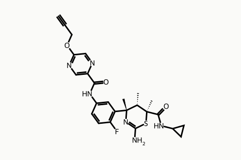 C#CCOc1cnc(C(=O)Nc2ccc(F)c([C@@]3(C)N=C(N)S[C@](C)(C(=O)NC4CC4)[C@H]3C)c2)cn1